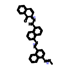 C/N=N/c1ccc(/N=N/c2cccc3c(N/N=C4/C=Cc5ccccc5C4=O)cccc23)c2ccccc12